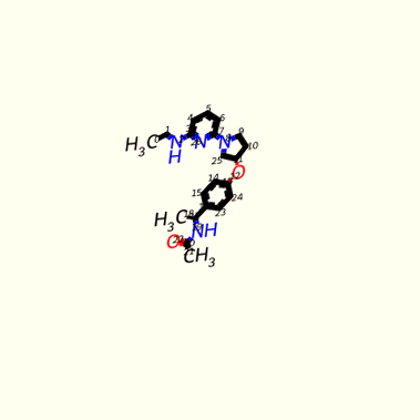 CCNc1cccc(N2CC[C@@H](Oc3ccc([C@H](C)NC(C)=O)cc3)C2)n1